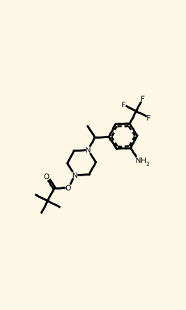 CC(c1cc(N)cc(C(F)(F)F)c1)N1CCN(OC(=O)C(C)(C)C)CC1